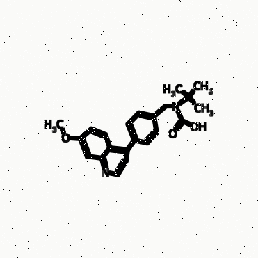 COc1ccc2c(-c3ccc(CN(C(=O)O)C(C)(C)C)cc3)ccnc2c1